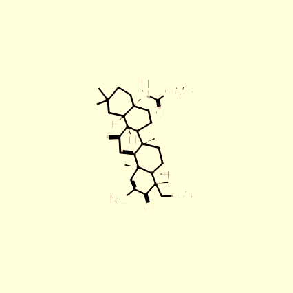 COC(=O)N[C@]12CCC(C)(C)C[C@H]1[C@H]1C(=O)C=C3[C@@]4(C)C=C(C#N)C(=O)[C@@](C)(COC(C)=O)[C@@H]4CC[C@@]3(C)[C@]1(C)CC2